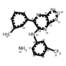 Cc1cccc(-c2nc3nonc3nc2Nc2cccc(C(F)(F)F)c2)c1.N